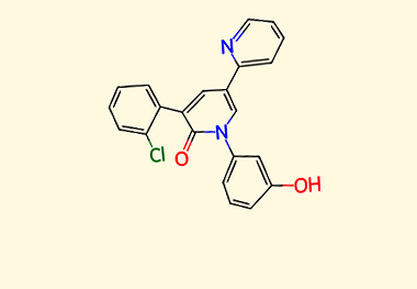 O=c1c(-c2ccccc2Cl)cc(-c2ccccn2)cn1-c1cccc(O)c1